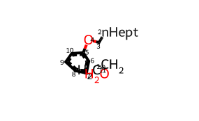 C=C.CCCCCCCCOc1ccccc1.O